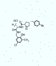 Cc1cc(Cl)cc(CNC(=O)[C@H](C)NC(=O)[C@H]2C[C@H](Cc3ccc(Br)cc3)CN2)c1O.Cl